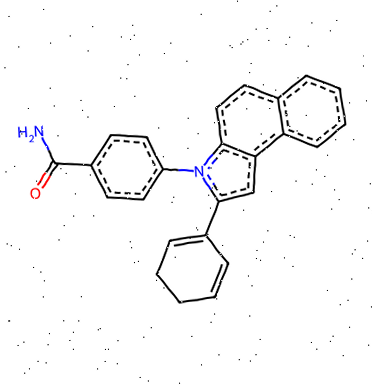 NC(=O)c1ccc(-n2c(C3=CCCC=C3)cc3c4ccccc4ccc32)cc1